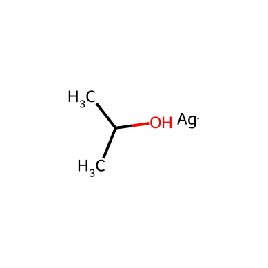 CC(C)O.[Ag]